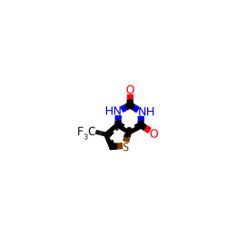 O=c1[nH]c(=O)c2scc(C(F)(F)F)c2[nH]1